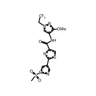 COc1nn(CC(F)(F)F)cc1NC(=O)c1csc(-c2cnn(S(C)(=O)=O)c2)n1